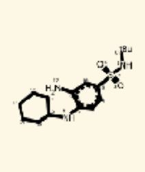 CC(C)(C)NS(=O)(=O)c1ccc(NC2CCCCC2)c(N)c1